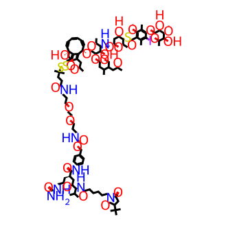 COc1c(C)c(OC2OC(C)C(O)C(OC)C2O)c(I)c(C)c1C(=O)SC1C(O)CC(ONC2C(C)OC(O[C@H]3C#C/C=C\C#C[C@]4(O)CC(=O)C(CC(C)=O)=C3/C4=C/CSSC(C)(C)CCC(=O)NCCCOCCOCCCNC(=O)OCc3ccc(NC(=O)[C@H](CCCNC(N)=O)CC(=O)[C@@H](NC(=O)CCCCCN4C(=O)CC(C(C)(C)C)C4=O)C(C)C)cc3)C(OC3CC(C)C(CC(C)=O)CO3)C2O)OC1C